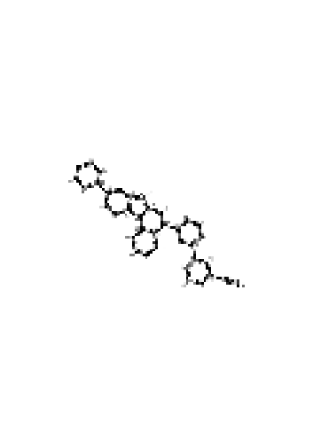 N#Cc1cncc(-c2cccc(-c3cc4sc5cc(-c6ccccc6)ccc5c4c4ccccc34)c2)c1